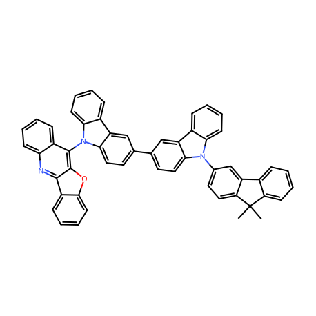 CC1(C)c2ccccc2-c2cc(-n3c4ccccc4c4cc(-c5ccc6c(c5)c5ccccc5n6-c5c6ccccc6nc6c5oc5ccccc56)ccc43)ccc21